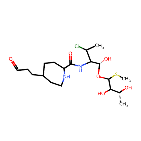 CSC(O[C@@H](O)C(NC(=O)C1CCC(CCC=O)CCN1)C(C)Cl)C(O)[C@@H](C)O